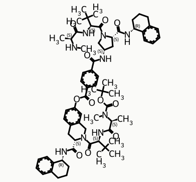 CN[C@@H](C)C(=O)N[C@H](C(=O)N1C[C@@H](NC(=O)c2ccc(C(=O)Oc3ccc4c(c3)CN(C(=O)[C@@H](NC(=O)[C@H](C)N(C)C(=O)OC(C)(C)C)C(C)(C)C)[C@H](C(=O)N[C@@H]3CCCc5ccccc53)C4)cc2)C[C@H]1C(=O)N[C@@H]1CCCc2ccccc21)C(C)(C)C